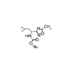 Cc1nc(C(CC2CC2)NC(=O)OC(C)(C)C)no1